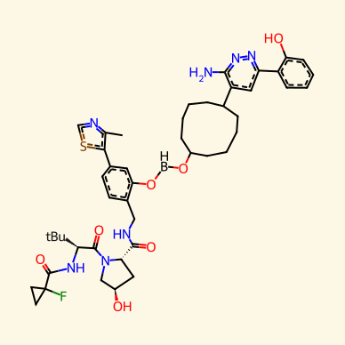 Cc1ncsc1-c1ccc(CNC(=O)[C@@H]2C[C@@H](O)CN2C(=O)[C@@H](NC(=O)C2(F)CC2)C(C)(C)C)c(OBOC2CCCCC(c3cc(-c4ccccc4O)nnc3N)CCCC2)c1